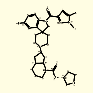 Cc1cc(C(=O)N2CC3(CCN(C4CC5CCCN(C(=O)O[C@@H]6CCOC6)C5C4)CC3)c3cc(F)ccc32)nn1C